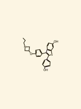 CCCN1CC(Oc2ccc(-c3c(-c4ccc(O)cc4)sc4cc(O)ccc34)cc2)C1